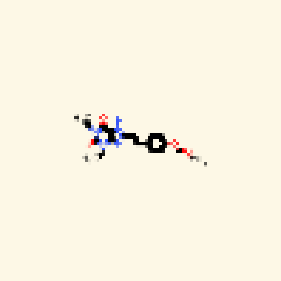 CCn1c(=O)c2[nH]c(/C=C/c3ccc(OCOC)cc3)nc2n(CC)c1=O